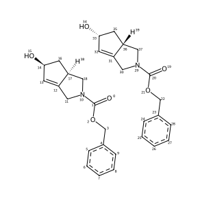 O=C(OCc1ccccc1)N1CC2=C[C@@H](O)C[C@H]2C1.O=C(OCc1ccccc1)N1CC2=C[C@H](O)C[C@@H]2C1